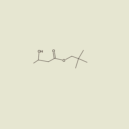 CC(O)CC(=O)OCC(C)(C)C